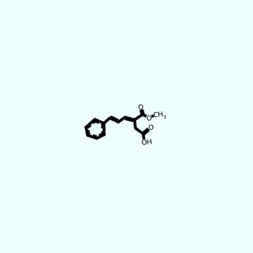 COC(=O)/C(=C/C=Cc1ccccc1)CC(=O)O